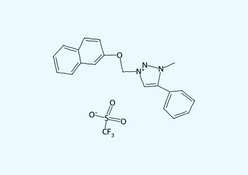 Cn1n[n+](COc2ccc3ccccc3c2)cc1-c1ccccc1.O=S(=O)([O-])C(F)(F)F